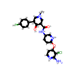 CC(C)n1cc(C(=O)Nc2ccc(Oc3ccnc(N)c3Cl)nc2)c(=O)c(-c2ccc(F)cc2)c1